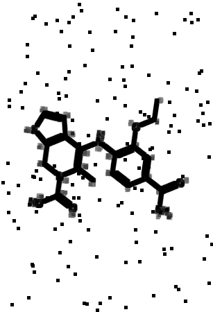 CCOc1cc(C(N)=O)ccc1NC1=C(C)N(C(=O)O)Cc2sccc21